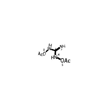 CC(=O)ONC(=N)NOC(C)=O